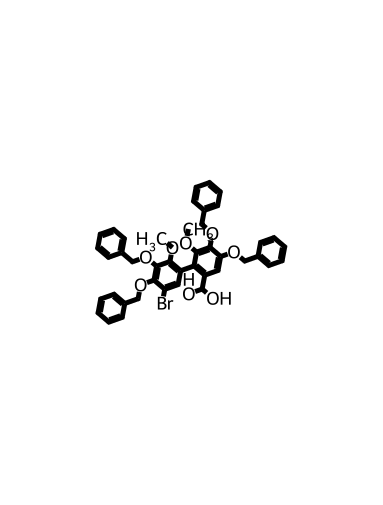 COc1c(-c2c(C(O)O)cc(OCc3ccccc3)c(OCc3ccccc3)c2OC)cc(Br)c(OCc2ccccc2)c1OCc1ccccc1